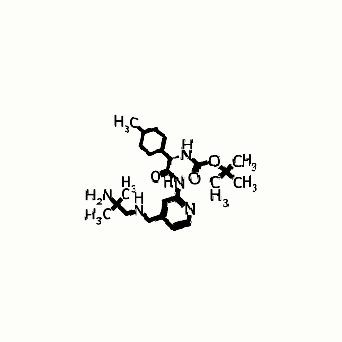 CC1CCC([C@H](NC(=O)OC(C)(C)C)C(=O)Nc2cc(CNCC(C)(C)N)ccn2)CC1